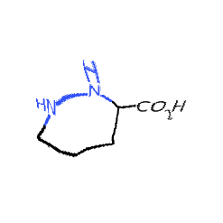 O=C(O)C1CCCNN1